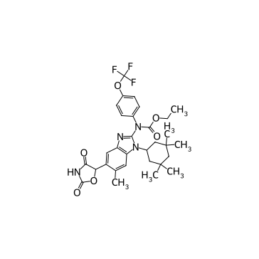 CCOC(=O)N(c1ccc(OC(F)(F)F)cc1)c1nc2cc(C3OC(=O)NC3=O)c(C)cc2n1C1CC(C)(C)CC(C)(C)C1